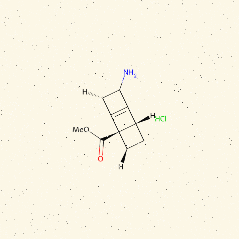 COC(=O)[C@@]12C3=C4[C@@H]1C1[C@H]2[C@@H]3C41N.Cl